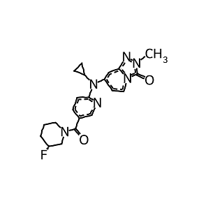 Cn1nc2cc(N(c3ccc(C(=O)N4CCC[C@H](F)C4)cn3)C3CC3)ccn2c1=O